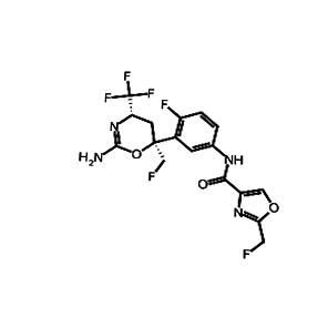 NC1=N[C@H](C(F)(F)F)C[C@@](CF)(c2cc(NC(=O)c3coc(CF)n3)ccc2F)O1